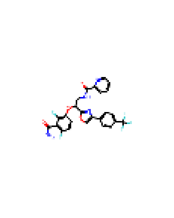 NC(=O)c1c(F)ccc(OC(CNC(=O)c2ccccn2)c2nc(-c3ccc(C(F)(F)F)cc3)co2)c1F